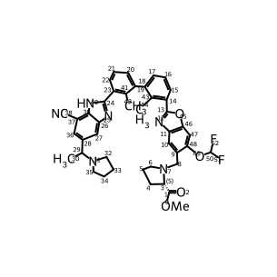 COC(=O)[C@@H]1CCCN1Cc1cc2nc(-c3cccc(-c4cccc(-c5nc6cc(C(C)N7CCCC7)cc(C#N)c6[nH]5)c4C)c3C)oc2cc1OC(F)F